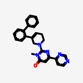 Cn1c(N2CCC=C(c3ccccc3-c3ccccc3)C2)nc(-c2ccncn2)cc1=O